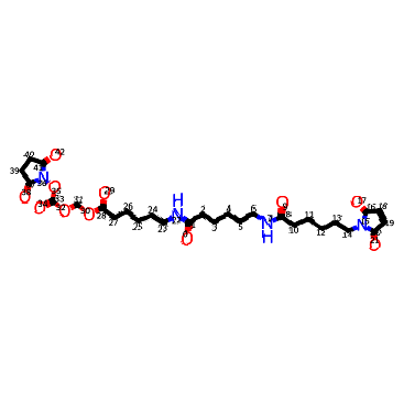 O=C(CCCCCNC(=O)CCCCCN1C(=O)C=CC1=O)NCCCCCC(=O)OCOC(=O)ON1C(=O)CCC1=O